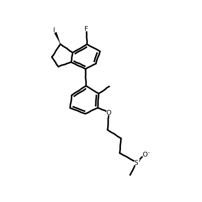 Cc1c(OCCC[S+](C)[O-])cccc1-c1ccc(F)c2c1CC[C@H]2I